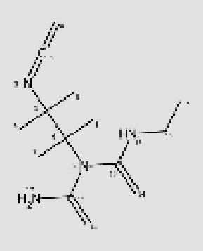 C=C=NC(C)(C)C(C)(C)N(C(=C)N)C(=C)NCC